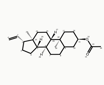 C=C[C@H]1CC[C@H]2[C@@H]3CCC4C[C@H](OC(C)=O)CC[C@]4(C)[C@H]3CC[C@]12C